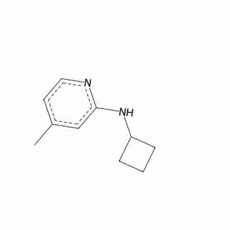 Cc1ccnc(NC2CCC2)c1